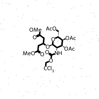 COC(=O)CC(CC(=O)OC)O[C@H]1O[C@H](COC(C)=O)[C@@H](OC(C)=O)[C@H](OC(C)=O)[C@@H]1NC(=O)OCC(Cl)(Cl)Cl